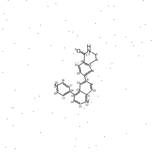 O=C1NCCc2cc(-c3ccc4nccc(-c5ccncc5)c4c3)ccc21